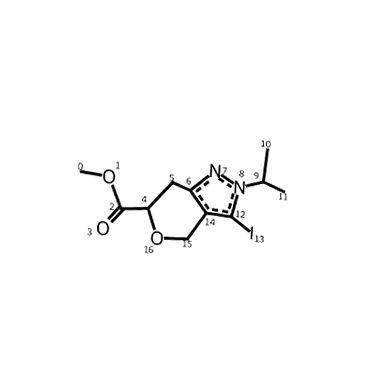 COC(=O)C1Cc2nn(C(C)C)c(I)c2CO1